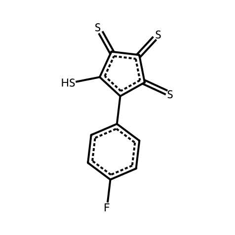 Fc1ccc(-c2c(S)c(=S)c(=S)c2=S)cc1